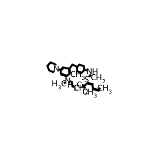 C=CCN(C)c1cc(N2CCCCC2)cc(CC2CCC(NC(=C)S/C(=C/C=C\C)C(=C)C)CC2)c1C